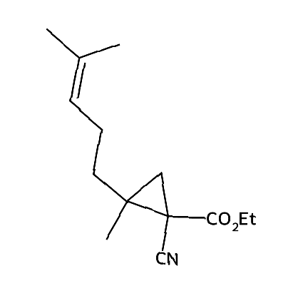 CCOC(=O)C1(C#N)CC1(C)CCC=C(C)C